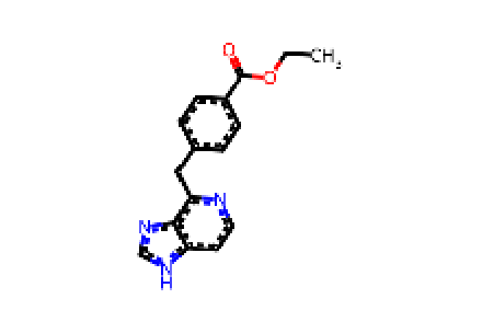 CCOC(=O)c1ccc(Cc2nccc3[nH]cnc23)cc1